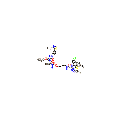 Cc1ncsc1-c1ccc(CNC(=O)[C@@H]2C[C@@H](OCC(=O)O)CN2C(=O)[C@@H](NC(=O)COCC#CC#CCNC(=O)C[C@@H]2N=C(c3ccc(Cl)cc3)c3c(sc(C)c3C)-n3c(C)nnc32)C(C)(C)C)cc1